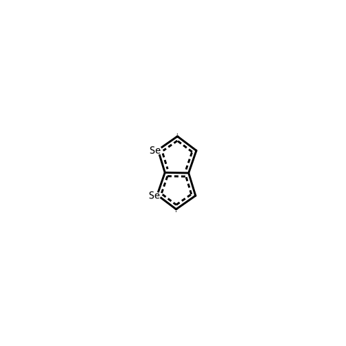 [c]1cc2c[c][se]c2[se]1